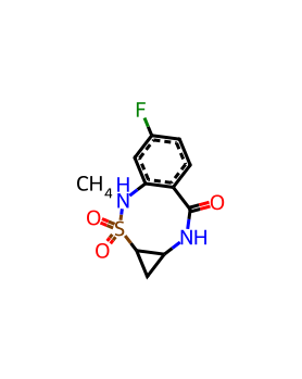 C.O=C1NC2CC2S(=O)(=O)Nc2cc(F)ccc21